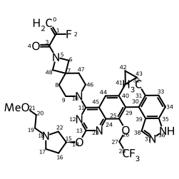 C=C(F)C(=O)N1CC2(CCN(c3nc(O[C@H]4CCN(CCOC)C4)nc4c(OCC(F)(F)F)c(-c5c(C)ccc6[nH]ncc56)c(C5CC5)cc34)CC2)C1